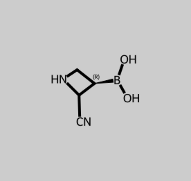 N#CC1NC[C@H]1B(O)O